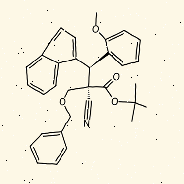 COc1ccccc1[C@H](c1cccc2ccccc12)[C@](C#N)(COCc1ccccc1)C(=O)OC(C)(C)C